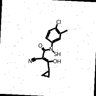 Cc1cc(N(S)C(=O)C(C#N)=C(O)C2CC2)ccc1Cl